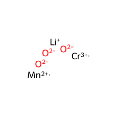 [Cr+3].[Li+].[Mn+2].[O-2].[O-2].[O-2]